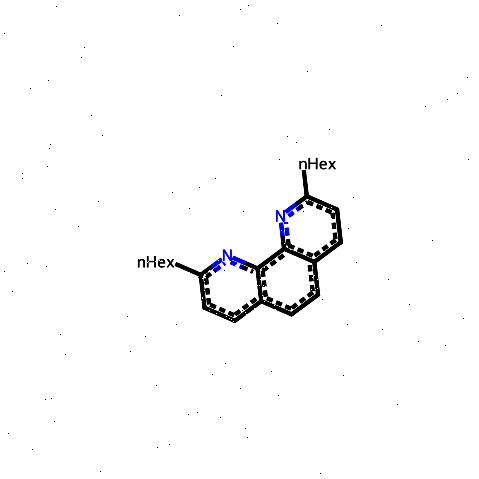 CCCCCCc1ccc2ccc3ccc(CCCCCC)nc3c2n1